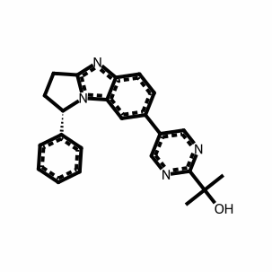 CC(C)(O)c1ncc(-c2ccc3nc4n(c3c2)[C@H](c2ccccc2)CC4)cn1